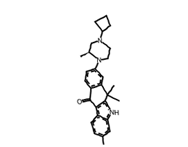 Cc1ccc2c3c([nH]c2c1)C(C)(C)c1cc(N2CCN(C4CCC4)C[C@@H]2C)ccc1C3=O